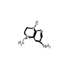 CCN1CCN(C)c2cc(N)cnc21